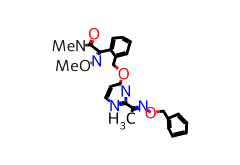 CNC(=O)C(=NOC)c1ccccc1COc1ccnc(C(C)=NOCc2ccccc2)n1